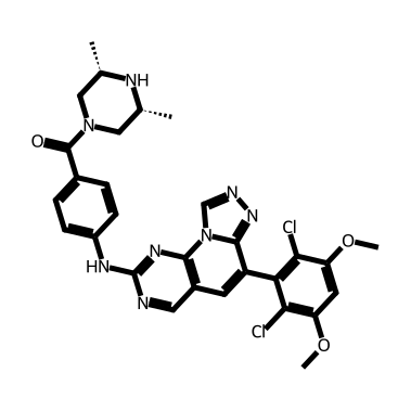 COc1cc(OC)c(Cl)c(-c2cc3cnc(Nc4ccc(C(=O)N5C[C@@H](C)N[C@@H](C)C5)cc4)nc3n3cnnc23)c1Cl